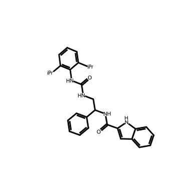 CC(C)c1cccc(C(C)C)c1NC(=O)NCC(NC(=O)c1cc2ccccc2[nH]1)c1ccccc1